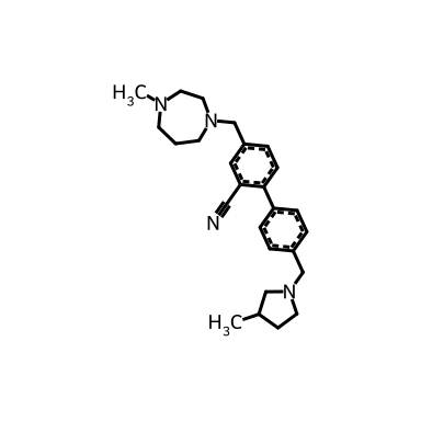 CC1CCN(Cc2ccc(-c3ccc(CN4CCCN(C)CC4)cc3C#N)cc2)C1